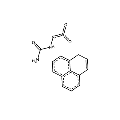 C1=Cc2cccc3cccc(c23)C1.NC(=O)NN=S(=O)=O